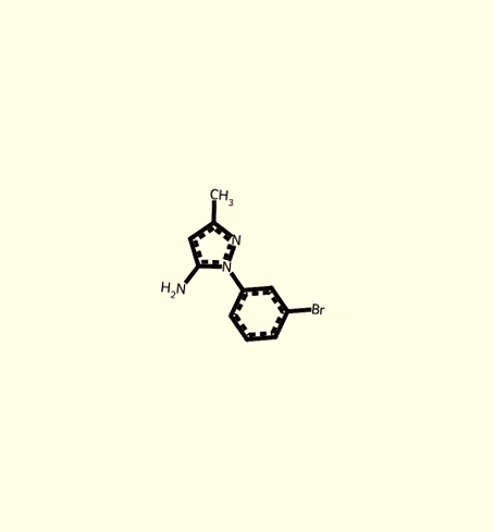 Cc1cc(N)n(-c2cccc(Br)c2)n1